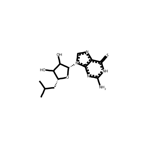 CC(C)C[C@H]1O[C@@H](n2cnc3c(=S)[nH]c(N)nc32)C(O)C1O